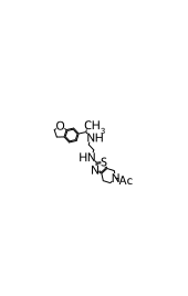 CC(=O)N1CCc2nc(NCCNC(C)c3ccc4c(c3)OCC4)sc2C1